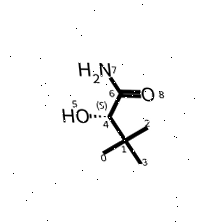 CC(C)(C)[C@H](O)C(N)=O